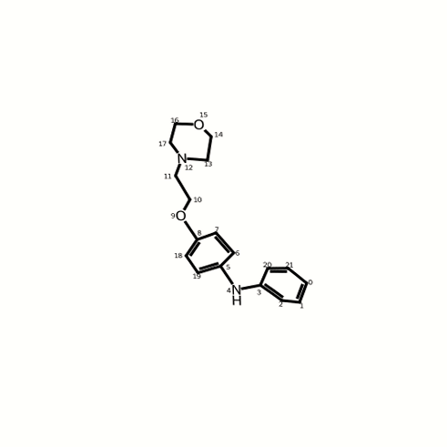 c1ccc(Nc2ccc(OCCN3CCOCC3)cc2)cc1